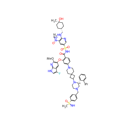 COc1nc2[nH]cc(F)c2cc1Oc1cc(N2CCC3(CC2)CC(N2CCN(Cc4ccc(S(C)(=N)=O)cc4)C[C@H]2c2ccccc2C(C)C)C3)ccc1C(=O)NS(=O)(=O)c1cnc(NC[C@H]2CC[C@](C)(O)CC2)c([NH+](C)[O-])c1